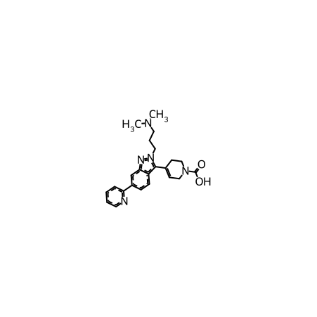 CN(C)CCCn1nc2cc(-c3ccccn3)ccc2c1C1=CCN(C(=O)O)CC1